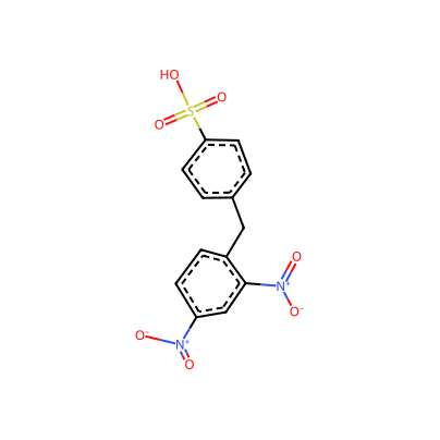 O=[N+]([O-])c1ccc(Cc2ccc(S(=O)(=O)O)cc2)c([N+](=O)[O-])c1